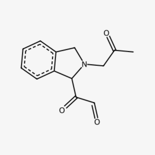 CC(=O)CN1Cc2ccccc2C1C(=O)C=O